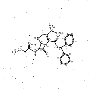 COC(OC(C)=O)C1=C(C(=O)OC(c2ccccc2)c2ccccc2)N2C(=O)[C@@H](NC(=O)CSC(F)(F)F)[C@H]2SC1